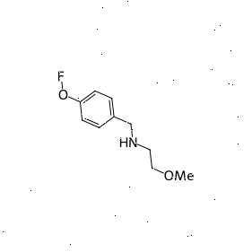 COCCNCc1ccc(OF)cc1